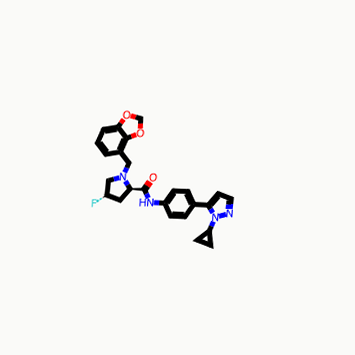 O=C(Nc1ccc(-c2ccnn2C2CC2)cc1)[C@H]1C[C@H](F)CN1Cc1cccc2c1OCO2